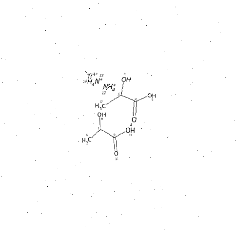 CC(O)C(=O)O.CC(O)C(=O)O.[NH4+].[NH4+].[Ti+4]